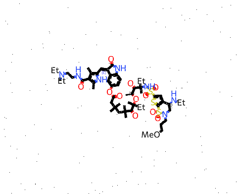 CCN[C@H]1CN(CCCOC)S(=O)(=O)c2sc(S(=O)(=O)NC(C)(CC)C(=O)[C@H](C)OC(C)(CC)C(=O)C(C)(C)CC(C)(C)CC(=O)Oc3ccc4c(c3)/C(=C\c3[nH]c(C)c(C(=O)NCCN(CC)CC)c3C)C(=O)N4)cc21